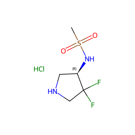 CS(=O)(=O)N[C@@H]1CNCC1(F)F.Cl